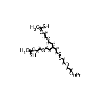 CCCOCCOCCSSCCC(CCOCCOC(C)S)CCOCCOC(C)S